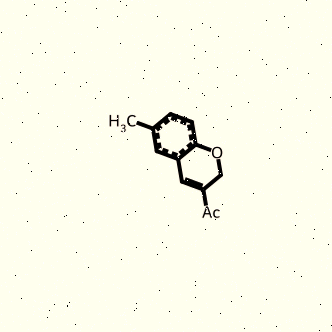 CC(=O)C1=Cc2cc(C)ccc2OC1